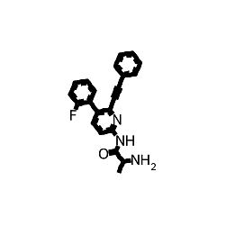 CC(N)C(=O)Nc1ccc(-c2ccccc2F)c(C#Cc2ccccc2)n1